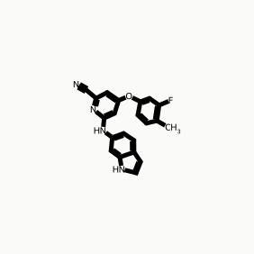 Cc1ccc(Oc2cc(C#N)nc(Nc3ccc4cc[nH]c4c3)c2)cc1F